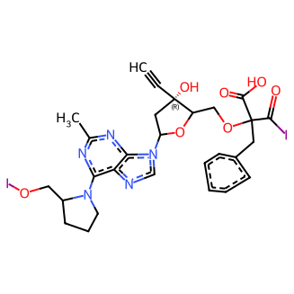 C#C[C@]1(O)CC(n2cnc3c(N4CCCC4COI)nc(C)nc32)OC1COC(Cc1ccccc1)(C(=O)O)C(=O)I